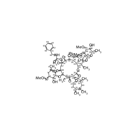 CON=C1C[C@@H](C)O[C@@H](O[C@@H]2[C@@H](C)[C@H](O[C@H]3C[C@H](C)N(C)C[C@H](C)O3)[C@@H](C)C(=O)OC(C(C)CO[C@@H]3O[C@H](C)[C@@H](O)[C@@H](OC)[C@H]3OC)[C@@H](C)[C@@H]([C@H](C(=O)O)C(C)C)[C@@H](C)C(=O)[C@@](C)(OC(=O)NCc3ccccc3)C[C@@H]2C)[C@@H]1O